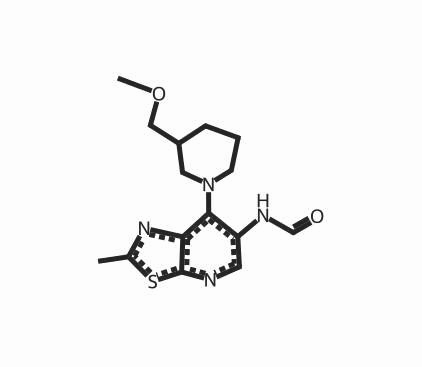 COCC1CCCN(c2c(NC=O)cnc3sc(C)nc23)C1